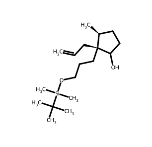 C=CC[C@]1(CCCO[Si](C)(C)C(C)(C)C)C(O)CC[C@@H]1C